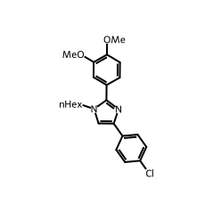 CCCCCCn1cc(-c2ccc(Cl)cc2)nc1-c1ccc(OC)c(OC)c1